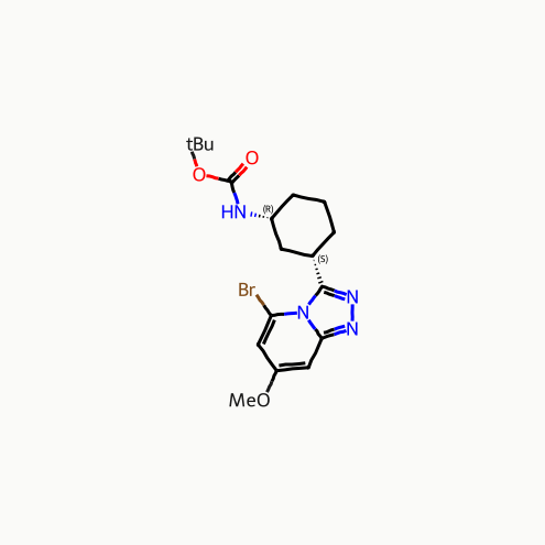 COc1cc(Br)n2c([C@H]3CCC[C@@H](NC(=O)OC(C)(C)C)C3)nnc2c1